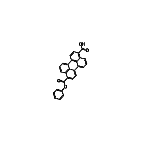 O=C(O)c1ccc2c3cccc4c(C(=O)Oc5ccccc5)ccc(c5cccc1c25)c43